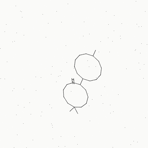 CC1CCCCCC(C2CCCCC(C)(C)CCCCN2)CCCCC1